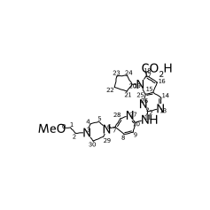 COCCN1CCN(c2ccc(Nc3ncc4cc(C(=O)O)n(C5CCCC5)c4n3)nc2)CC1